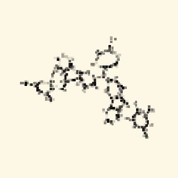 Fc1ccc(N(c2ccc3c(c2)c2ccccc2n3Cc2c(F)cc(F)cc2F)c2ccc3c(c2)c2ccccc2n3Cc2c(F)cc(F)cc2F)cc1